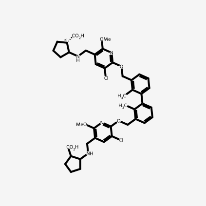 COc1nc(OCc2cccc(-c3cccc(COc4nc(OC)c(CNC5CCC[C@@H]5C(=O)O)cc4Cl)c3C)c2C)c(Cl)cc1CNC1CCCC1C(=O)O